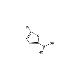 CC(C)c1ccc(B(O)O)s1